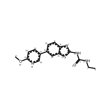 CCNC(=O)Nc1nc2ccc(-c3ccc(OC)nc3)cc2s1